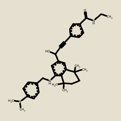 CCNC(=O)c1ccc(C#CC(O)c2cc(NCc3ccc(N(C)C)cc3)c3c(c2)C(C)(C)CCC3(C)C)cc1